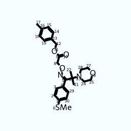 CSc1ccc(/C(=N/OCC(=O)OCc2ccc(C)cc2)C(C)(C)N2CCOCC2)cc1